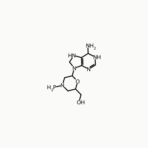 NC1NC=NC2=C1NCN2C1CN(P)CC(CO)O1